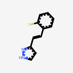 Fc1ccccc1C=Cc1[c]c[nH]n1